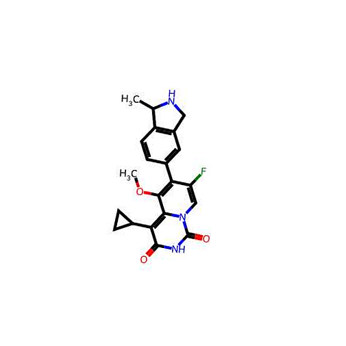 COc1c(-c2ccc3c(c2)CNC3C)c(F)cn2c(=O)[nH]c(=O)c(C3CC3)c12